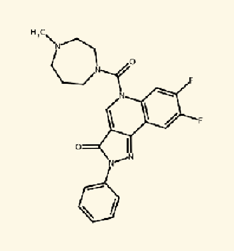 CN1CCCN(C(=O)n2cc3c(=O)n(-c4ccccc4)nc-3c3cc(F)c(F)cc32)CC1